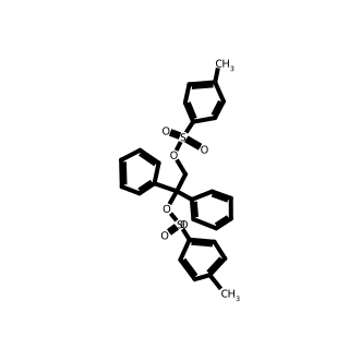 Cc1ccc(S(=O)(=O)OCC(OS(=O)(=O)c2ccc(C)cc2)(c2ccccc2)c2ccccc2)cc1